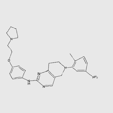 Cc1ccc(N)cc1N1CCc2nc(Nc3ccc(OCCN4CCCC4)cc3)ncc2C1